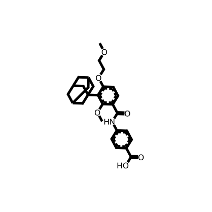 COCCOc1ccc(C(=O)Nc2ccc(C(=O)O)cc2)c(OC)c1C12CC3CC(CC(C3)C1)C2